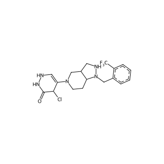 O=C1NNC=C(N2CCC3C(CNN3Cc3ccccc3C(F)(F)F)C2)C1Cl